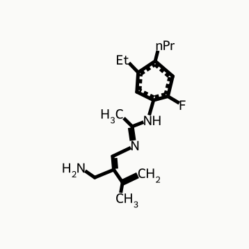 C=C(C)/C(=C\N=C(/C)Nc1cc(CC)c(CCC)cc1F)CN